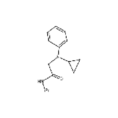 CC(C)NC(=O)CN(c1ccccc1)C1CC1